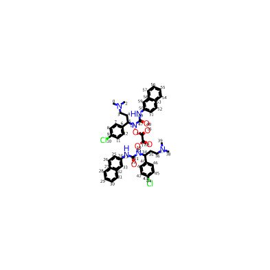 CN(C)CCC(c1ccc(Cl)cc1)N(OC(=O)C(=O)ON(C(=O)Nc1ccc2ccccc2c1)C(CCN(C)C)c1ccc(Cl)cc1)C(=O)Nc1ccc2ccccc2c1